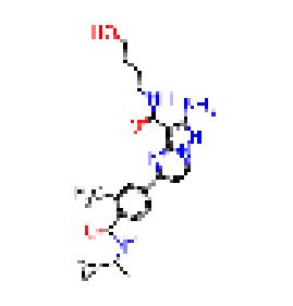 C[C@@H](C1CC1)N1Cc2cc(-c3ccn4nc(N)c(C(=O)NCCCCO)c4n3)cc(C(F)(F)F)c2C1=O